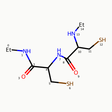 CCNC(=O)C(CS)NC(=O)C(CS)NCC